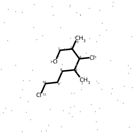 CC(C[O])C(Cl)C(C)CCCCl